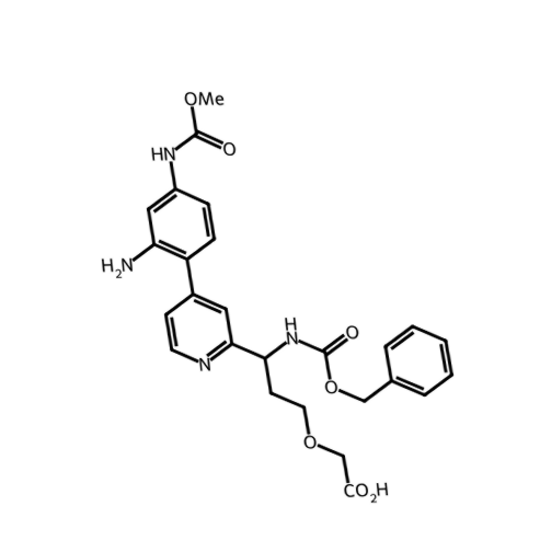 COC(=O)Nc1ccc(-c2ccnc(C(CCOCC(=O)O)NC(=O)OCc3ccccc3)c2)c(N)c1